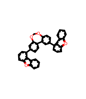 c1ccc2c(c1)oc1cccc(-c3ccc4c(c3)OCOc3ccc(-c5cccc6oc7ccccc7c56)cc3-4)c12